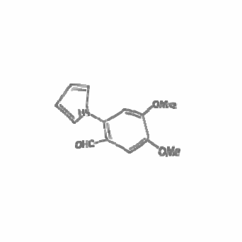 COc1cc(C=O)c([SH]2C=CC=C2)cc1OC